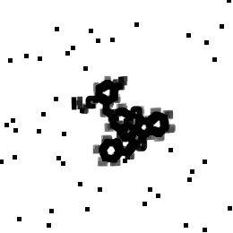 Cc1ccc(F)cc1CN1CCN(C2(c3ccc4c(n3)CCCC4)C(=O)c3ccccc3C2=O)CC1